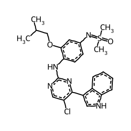 CC(C)COc1cc(N=S(C)(C)=O)ccc1Nc1ncc(Cl)c(-c2c[nH]c3ccccc23)n1